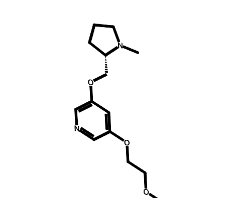 COCCOc1cncc(OC[C@@H]2CCCN2C)c1